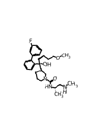 CNC[C@H](C)NC(=O)N1CCC[C@@H]([C@@](O)(CCCCOC)c2ccccc2-c2cccc(F)c2)C1